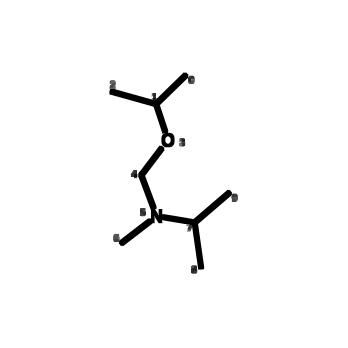 CC(C)OCN(C)C(C)C